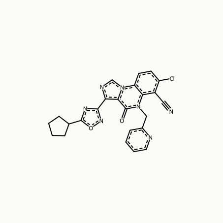 N#Cc1c(Cl)ccc2c1n(Cc1ccccn1)c(=O)c1c(-c3noc(C4CCCC4)n3)ncn12